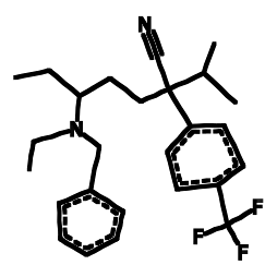 CCC(CCC(C#N)(c1ccc(C(F)(F)F)cc1)C(C)C)N(CC)Cc1ccccc1